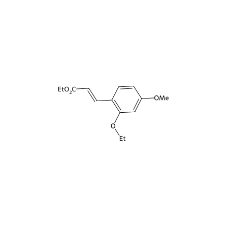 CCOC(=O)C=Cc1ccc(OC)cc1OCC